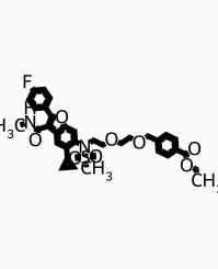 CCOC(=O)c1ccc(COCCOCCN(c2cc3oc(-c4ccc(F)cc4)c(C(=O)NC)c3cc2C2CC2)S(C)(=O)=O)cc1